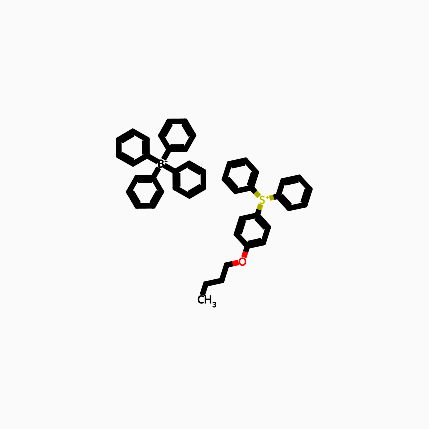 CCCCOc1ccc([S+](c2ccccc2)c2ccccc2)cc1.c1ccc([B-](c2ccccc2)(c2ccccc2)c2ccccc2)cc1